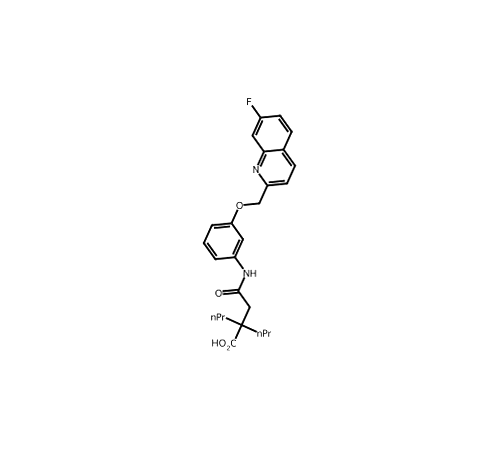 CCCC(CCC)(CC(=O)Nc1cccc(OCc2ccc3ccc(F)cc3n2)c1)C(=O)O